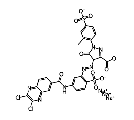 Cc1cc(S(=O)(=O)[O-])ccc1N1N=C(C(=O)[O-])C(N=Nc2cc(NC(=O)c3ccc4nc(Cl)c(Cl)nc4c3)ccc2S(=O)(=O)[O-])C1=O.[Na+].[Na+].[Na+]